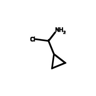 N[C](Cl)C1CC1